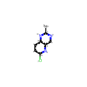 [2H]c1ncc2nc(Cl)ccc2n1